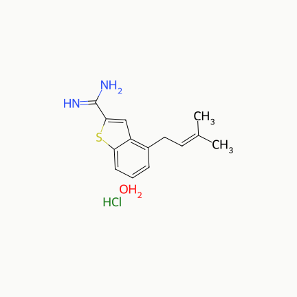 CC(C)=CCc1cccc2sc(C(=N)N)cc12.Cl.O